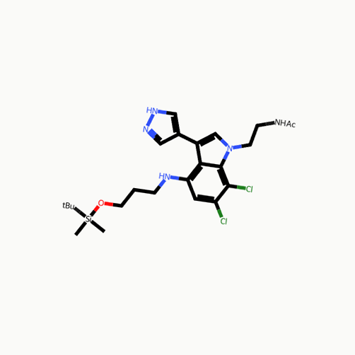 CC(=O)NCCn1cc(-c2cn[nH]c2)c2c(NCCCO[Si](C)(C)C(C)(C)C)cc(Cl)c(Cl)c21